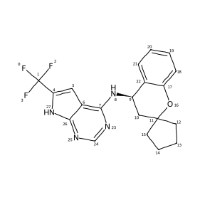 FC(F)(F)c1cc2c(N[C@@H]3CC4(CCCC4)Oc4ccccc43)ncnc2[nH]1